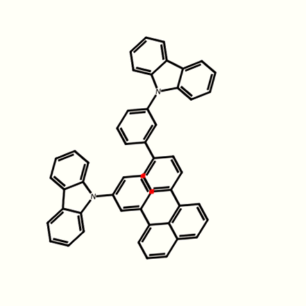 c1cc(-c2ccc(-c3cccc4cccc(-c5cccc(-n6c7ccccc7c7ccccc76)c5)c34)cc2)cc(-n2c3ccccc3c3ccccc32)c1